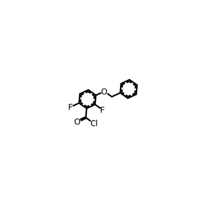 O=C(Cl)c1c(F)ccc(OCc2ccccc2)c1F